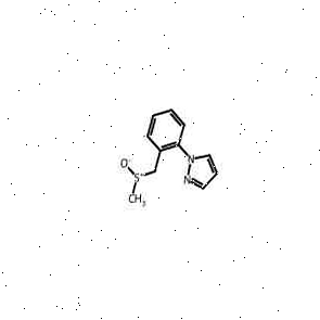 C[S+]([O-])Cc1[c]cccc1-n1cccn1